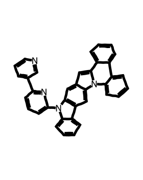 c1cncc(-c2cccc(-n3c4ccccc4c4cc5c(cc43)cc3c4ccccc4c4ccccc4n53)n2)c1